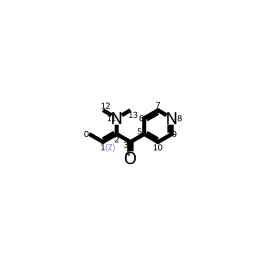 C/C=C(/C(=O)c1ccncc1)N(C)C